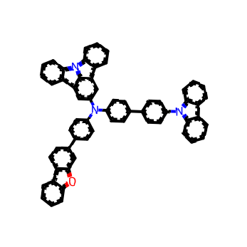 c1ccc2c(c1)oc1cc(-c3ccc(N(c4ccc(-c5ccc(-n6c7ccccc7c7ccccc76)cc5)cc4)c4cc5c6ccccc6n6c7ccccc7c(c4)c56)cc3)ccc12